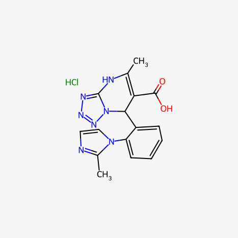 CC1=C(C(=O)O)C(c2ccccc2-n2ccnc2C)n2nnnc2N1.Cl